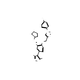 Cc1noc(C)c1-c1ccc(OCc2cn(-c3ccc([N+](=O)[O-])cc3)nn2)c(S(=O)(=O)NC2CCCC2)c1